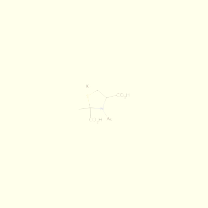 CC(=O)N1C(C(=O)O)CSC1(C)C(=O)O.[K]